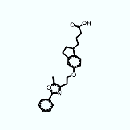 Cc1oc(-c2ccccc2)nc1CCOc1ccc2c(c1)CCC2CCCC(=O)O